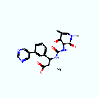 CC1=CN(C)C(=O)C(NC(=O)NC(CC(=O)[O-])c2cccc(-c3cncnc3)c2)C1=O.[Na+]